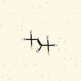 FC(F)(F)/C=C(\Cl)C(F)(F)F